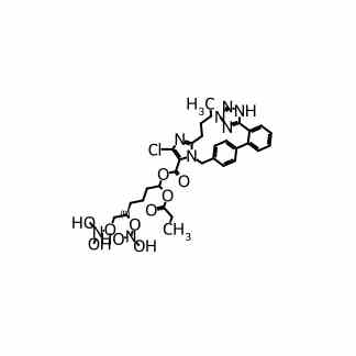 CCCCc1nc(Cl)c(C(=O)OC(CCC[C@H](CON(O)O)ON(O)O)OC(=O)CC)n1Cc1ccc(-c2ccccc2-c2nnn[nH]2)cc1